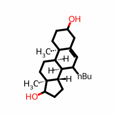 CCCCC1C=C2CC(O)CC[C@]2(C)[C@@H]2CC[C@]3(C)C(O)CC[C@H]3[C@H]12